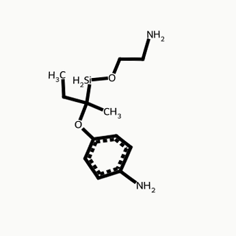 CCC(C)(Oc1ccc(N)cc1)[SiH2]OCCN